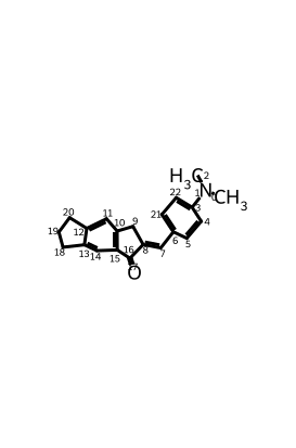 CN(C)c1ccc(/C=C2\Cc3cc4c(cc3C2=O)CCC4)cc1